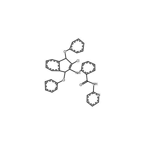 O=C(Nc1ccccn1)c1ccccc1NC1=C(Cl)C(Oc2ccccc2)c2ccccc2C1Oc1ccccc1